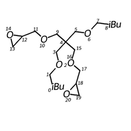 CCC(C)COCC(COCC(C)CC)(COCC1CO1)COCC1CO1